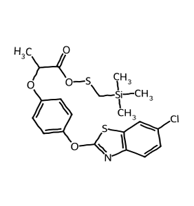 CC(Oc1ccc(Oc2nc3ccc(Cl)cc3s2)cc1)C(=O)OSC[Si](C)(C)C